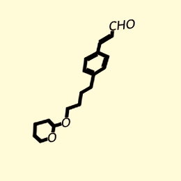 O=CC=Cc1ccc(CCCCOC2CCCCO2)cc1